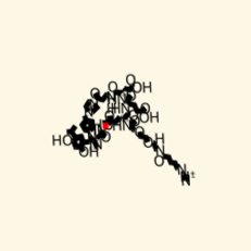 CCNC(=O)c1nnc(-c2cc(C(C)C)c(O)cc2O)n1-c1ccc(CN2CCN(C(=O)CCNC(=O)[C@@H](CCC(=O)O)NC(=O)C(CCC(=O)O)NC(=O)[C@@H](CCC(=O)O)NC(=O)COCCOCCNC(=O)CCCCN=[N+]=[N-])CC2)cc1